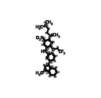 CN(C)CCN(C)c1nc(OCC(F)(F)F)c(Nc2nccc(-c3cn(C)c4ccccc34)n2)cc1[N+](=O)[O-]